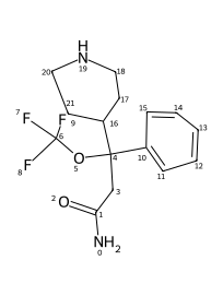 NC(=O)CC(OC(F)(F)F)(c1ccccc1)C1CCNCC1